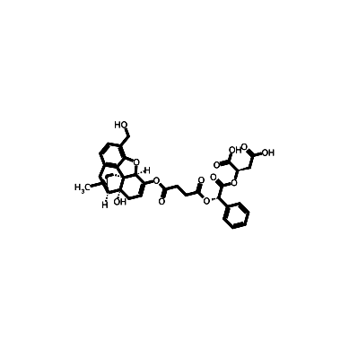 CN1CC[C@]23c4c5ccc(CO)c4O[C@H]2C(OC(=O)CCC(=O)O[C@H](C(=O)O[C@H](CC(=O)O)C(=O)O)c2ccccc2)=CC[C@@]3(O)[C@H]1C5